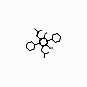 CC(C)=Cc1c(N)c(C2CCCCC2)c(N)c(CC(C)C)c1C1CCCCC1